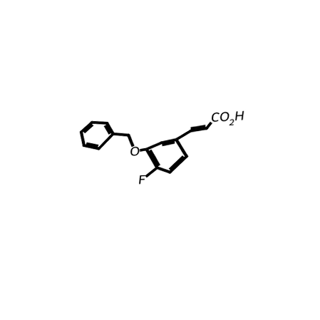 O=C(O)C=Cc1ccc(F)c(OCc2ccccc2)c1